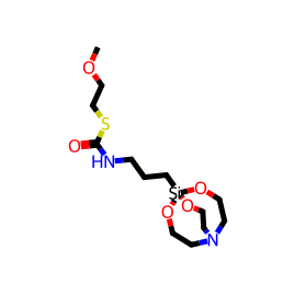 COCCSC(=O)NCCC[Si]12OCCN(CCO1)CCO2